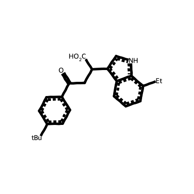 CCc1cccc2c(C(CC(=O)c3ccc(C(C)(C)C)cc3)C(=O)O)c[nH]c12